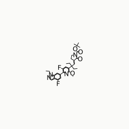 CCn1ncc2c(F)cc(-c3nc(OC)c(C(/C=C4\CCN(C(=O)OC(C)(C)C)C4=O)(CC)CC)cc3F)cc21